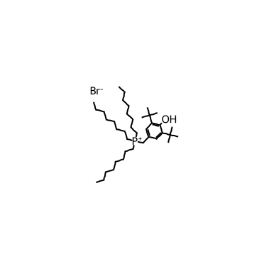 CCCCCCCC[P+](CCCCCCCC)(CCCCCCCC)Cc1cc(C(C)(C)C)c(O)c(C(C)(C)C)c1.[Br-]